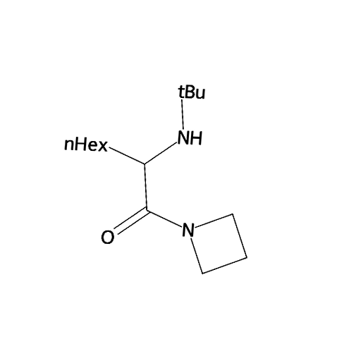 CCCCCCC(NC(C)(C)C)C(=O)N1CCC1